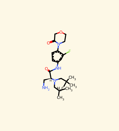 CC(C)CN(CC(C)(C)C)[C@@H](CN)C(=O)Nc1ccc(N2CCOCC2=O)c(F)c1